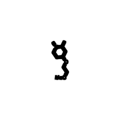 COCCOC1CCN(C)C(C)C1